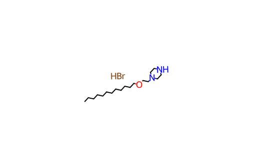 Br.CCCCCCCCCCCCOCCN1CCNCC1